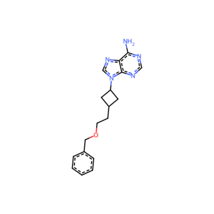 Nc1ncnc2c1ncn2C1CC(CCOCc2ccccc2)C1